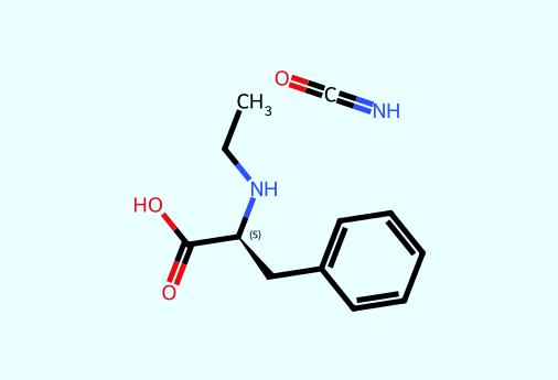 CCN[C@@H](Cc1ccccc1)C(=O)O.N=C=O